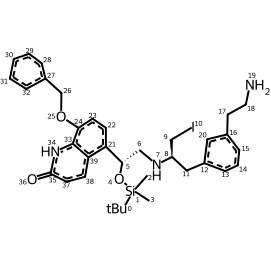 CC(C)(C)[Si](C)(C)O[C@@H](CN[C@@H](CI)Cc1cccc(CCN)c1)c1ccc(OCc2ccccc2)c2[nH]c(=O)ccc12